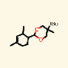 CC1=CC(C)C(C2OCC(C)(C(C)(C)C)CO2)CC1